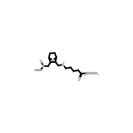 CCCCCC[S+]([O-])CC1C2CCC(O2)C1COCCCCC(=O)N(C)O